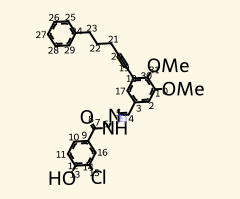 COc1cc(/C=N/NC(=O)c2ccc(O)c(Cl)c2)cc(C#CCCCc2ccccc2)c1OC